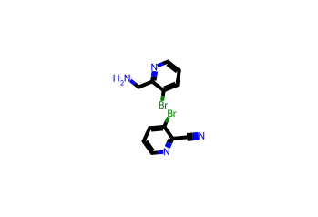 N#Cc1ncccc1Br.NCc1ncccc1Br